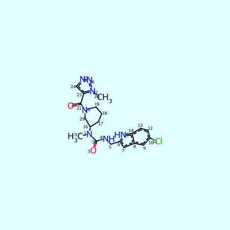 CN(C(=O)NCc1cc2cc(Cl)ccc2[nH]1)[C@@H]1CCCN(C(=O)c2cnnn2C)C1